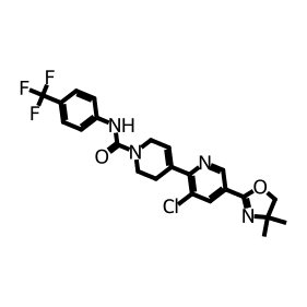 CC1(C)COC(c2cnc(C3=CCN(C(=O)Nc4ccc(C(F)(F)F)cc4)CC3)c(Cl)c2)=N1